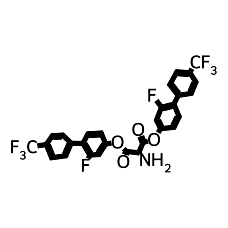 NC(C(=O)Oc1ccc(-c2ccc(C(F)(F)F)cc2)c(F)c1)C(=O)Oc1ccc(-c2ccc(C(F)(F)F)cc2)c(F)c1